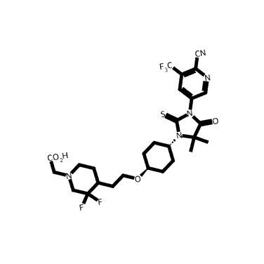 CC1(C)C(=O)N(c2cnc(C#N)c(C(F)(F)F)c2)C(=S)N1[C@H]1CC[C@H](OCCC2CCN(CC(=O)O)CC2(F)F)CC1